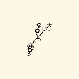 COc1cc(C)c(S(=O)(=O)N(C)CCOCC(=O)N(CCCCCNC(=O)OC(C)(C)C)Cc2ccc(C3=NCCN3)cc2)c(C)c1